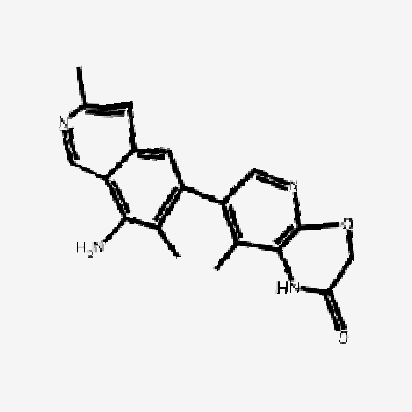 Cc1cc2cc(-c3cnc4c(c3C)NC(=O)CO4)c(C)c(N)c2cn1